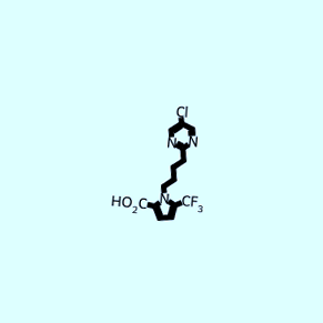 O=C(O)c1ccc(C(F)(F)F)n1CCCCc1ncc(Cl)cn1